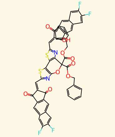 O=C1C(=Cc2nc3c(s2)-c2sc(/C=C4/C(=O)c5cc6cc(F)c(F)cc6cc5C4O)nc2C(C(=O)OCc2ccccc2)(C(=O)OCc2ccccc2)O3)C(=O)c2cc3cc(F)c(F)cc3cc21